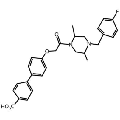 CC1CN(C(=O)COc2ccc(-c3ccc(C(=O)O)cc3)cc2)C(C)CN1Cc1ccc(F)cc1